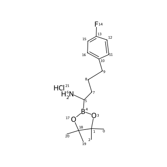 CC1(C)OB(C(N)CCCc2ccc(F)cc2)OC1(C)C.Cl